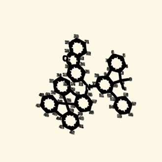 CC1(C)c2ccccc2-c2cc(N(c3ccc4oc5ccccc5c4c3)c3cccc4c3-c3ccccc3C43c4ccccc4-c4ccccc43)cc(-c3ccccc3)c21